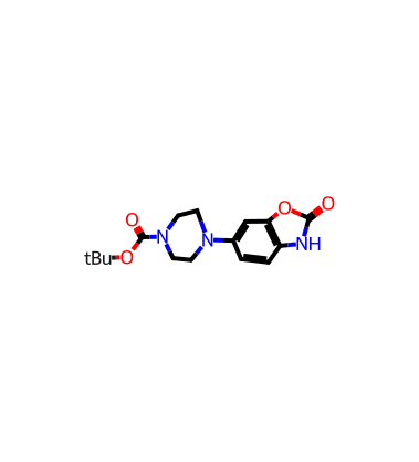 CC(C)(C)OC(=O)N1CCN(c2ccc3[nH]c(=O)oc3c2)CC1